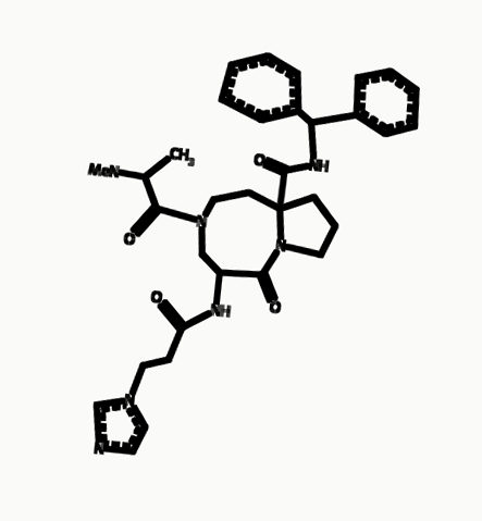 CNC(C)C(=O)N1CCC2(C(=O)NC(c3ccccc3)c3ccccc3)CCCN2C(=O)C(NC(=O)CCn2ccnc2)C1